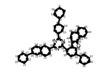 c1ccc(-c2ccc(-c3nc(-c4ccc5cc(-c6ccccc6)ccc5c4)nc(-c4ccc(-c5ccccc5)c5oc6c7ccccc7ccc6c45)n3)cc2)cc1